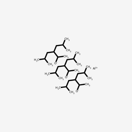 CC(C)CC(CC(C)C)C(C)[O-].CC(C)CC(CC(C)C)C(C)[O-].CC(C)CC(CC(C)C)C(C)[O-].[Al+3]